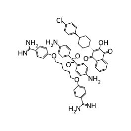 N=C(N)c1ccc(OCCCCCOc2ccc(C(=N)N)cc2)cc1.Nc1ccc(S(=O)(=O)c2ccc(N)cc2)cc1.O=C1C(O)=C([C@H]2CC[C@H](c3ccc(Cl)cc3)CC2)C(=O)c2ccccc21